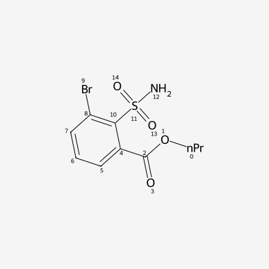 CCCOC(=O)c1cccc(Br)c1S(N)(=O)=O